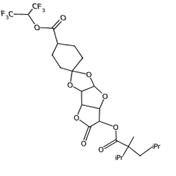 CC(C)CC(C)(C(=O)OC1C(=O)OC2C3OC4(CCC(C(=O)OC(C(F)(F)F)C(F)(F)F)CC4)OC3OC12)C(C)C